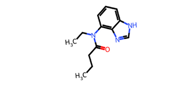 CCCC(=O)N(CC)c1cccc2[nH]cnc12